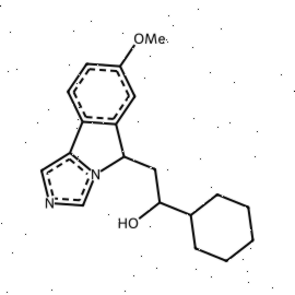 COc1ccc2c(c1)C(CC(O)C1CCCCC1)n1cncc1-2